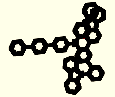 c1ccc(-c2ccc(-c3ccc(N(c4ccc(-c5ccccc5)cc4)c4ccc(-c5ccccc5-n5c6ccccc6c6ccccc65)cc4-c4ccc5c(c4)oc4ccccc45)cc3)cc2)cc1